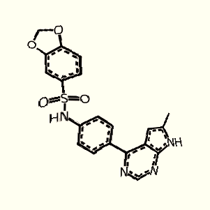 Cc1cc2c(-c3ccc(NS(=O)(=O)c4ccc5c(c4)OCO5)cc3)ncnc2[nH]1